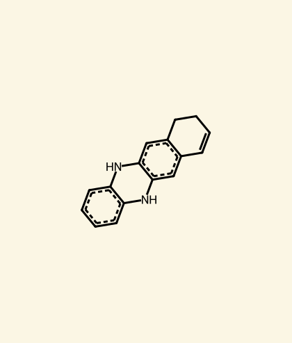 C1=Cc2cc3c(cc2CC1)Nc1ccccc1N3